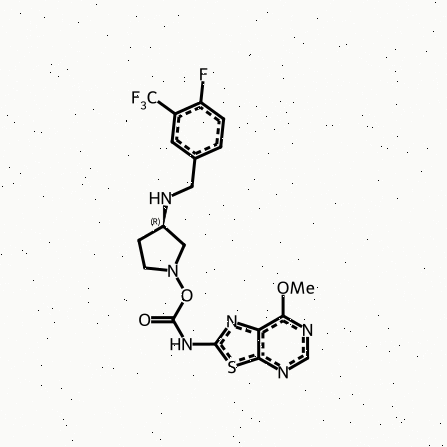 COc1ncnc2sc(NC(=O)ON3CC[C@@H](NCc4ccc(F)c(C(F)(F)F)c4)C3)nc12